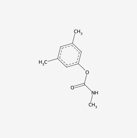 CNC(=O)Oc1cc(C)cc(C)c1